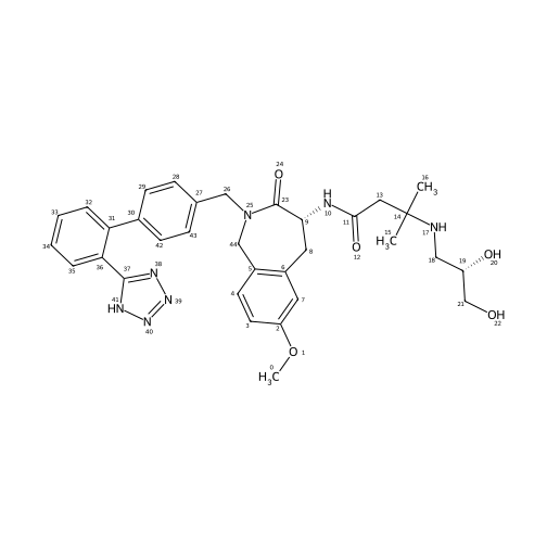 COc1ccc2c(c1)C[C@@H](NC(=O)CC(C)(C)NC[C@H](O)CO)C(=O)N(Cc1ccc(-c3ccccc3-c3nnn[nH]3)cc1)C2